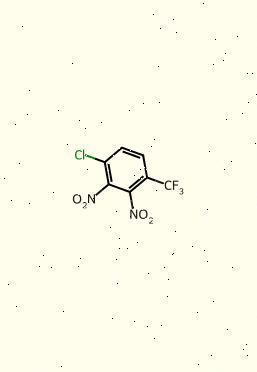 O=[N+]([O-])c1c(Cl)ccc(C(F)(F)F)c1[N+](=O)[O-]